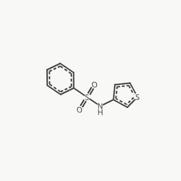 O=S(=O)(Nc1ccsc1)c1ccccc1